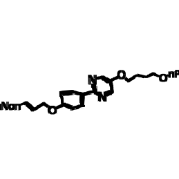 CCCCCCCCC/C=C/COc1ccc(-c2ncc(OCCCCOCCC)cn2)cc1